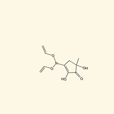 C=CON(OC=C)C1=C(O)C(=O)C(C)(O)C1